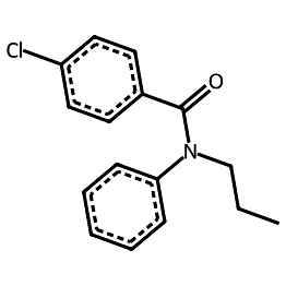 CCCN(C(=O)c1ccc(Cl)cc1)c1ccccc1